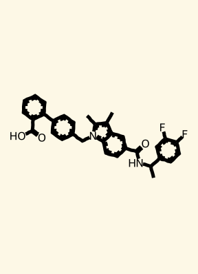 Cc1c(C)n(Cc2ccc(-c3ccccc3C(=O)O)cc2)c2ccc(C(=O)NC(C)c3ccc(F)c(F)c3)cc12